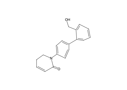 O=C1C=CCCN1c1ccc(-c2ccccc2CO)cc1